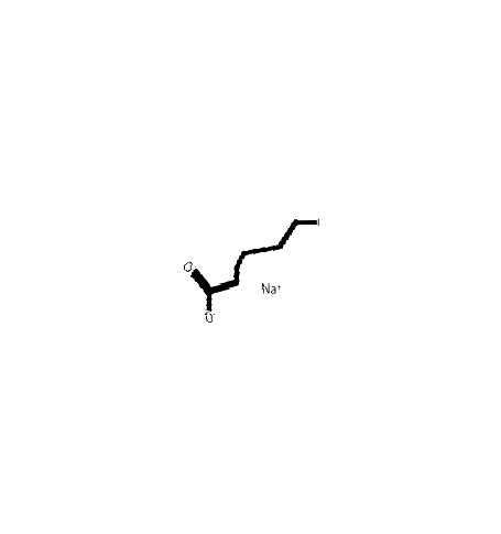 O=C([O-])CCCCI.[Na+]